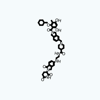 Cc1c(O)cc(O)c(C(=O)N2Cc3ccc(CN4CCC(C(=O)NCCNc5ccc6c(c5)CN(C5CCC(=O)NC5=O)C6=O)CC4)cc3C2)c1OCC1CCCCC1